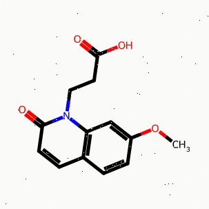 COc1ccc2ccc(=O)n(CCC(=O)O)c2c1